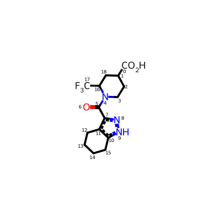 O=C(O)C1CCN(C(=O)c2n[nH]c3c2CCCC3)C(C(F)(F)F)C1